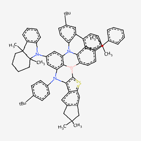 CC1(C)Cc2cc3sc4c(c3cc2C1)N(c1ccc(C(C)(C)C)cc1)c1cc(N2c3ccccc3C3(C)CCCCC23C)cc2c1B4c1ccc(C(C)(C)c3ccccc3)cc1N2c1ccc(C(C)(C)C)cc1-c1ccccc1